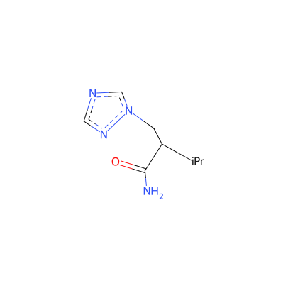 CC(C)C(Cn1cncn1)C(N)=O